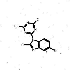 Cc1nc(Cl)nc(-n2c(Cl)nc3cc(Br)ccc32)n1